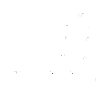 C=CCN1C=CN(C=C)C1OC(=O)C(F)(F)C(F)(F)C(F)(F)F